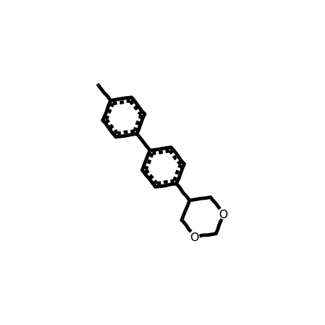 Cc1ccc(-c2ccc(C3COCOC3)cc2)cc1